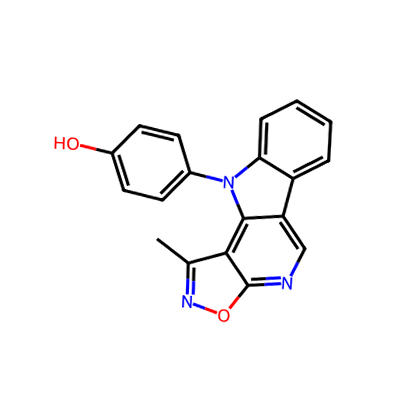 Cc1noc2ncc3c4ccccc4n(-c4ccc(O)cc4)c3c12